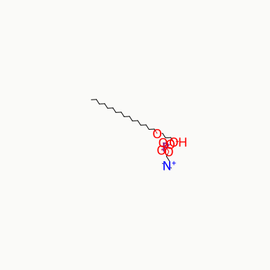 CCCCCCCCCCCCCCCCOCC(CO)OP(=O)([O-])OCC[N+](C)(C)C